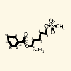 C[C@@H](CCCCOS(C)(=O)=O)OC(=O)c1ccccc1